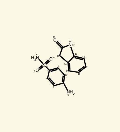 Nc1ccc(S(N)(=O)=O)cc1.O=C1Cc2ccccc2N1